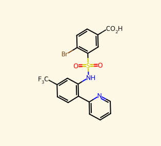 O=C(O)c1ccc(Br)c(S(=O)(=O)Nc2cc(C(F)(F)F)ccc2-c2ccccn2)c1